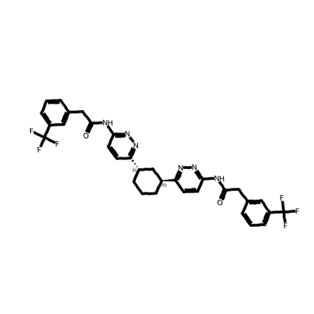 O=C(Cc1cccc(C(F)(F)F)c1)Nc1ccc([C@H]2CCC[C@H](c3ccc(NC(=O)Cc4cccc(C(F)(F)F)c4)nn3)C2)nn1